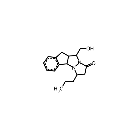 CCCC1CC(=O)N2C(CO)C3Cc4ccccc4C3N12